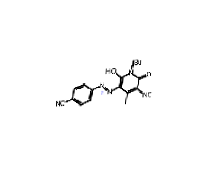 [C-]#[N+]c1c(C)c(/N=N/c2ccc(C#N)cc2)c(O)n(C(C)CC)c1=O